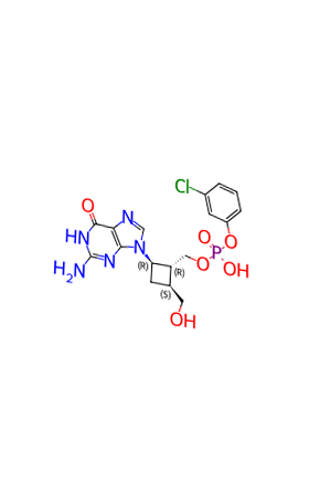 Nc1nc2c(ncn2[C@@H]2C[C@H](CO)[C@H]2COP(=O)(O)Oc2cccc(Cl)c2)c(=O)[nH]1